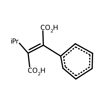 CC(C)/C(C(=O)O)=C(\C(=O)O)c1ccccc1